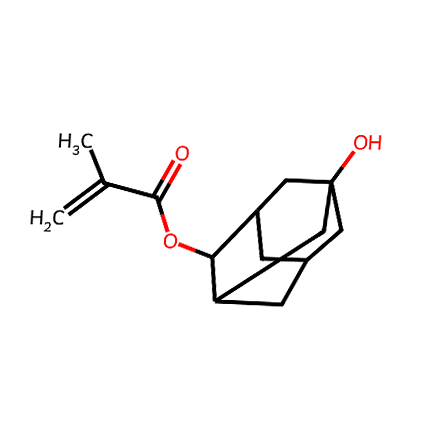 C=C(C)C(=O)OC1C2CC3CC1CC(O)(C3)C2